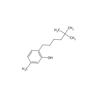 Cc1ccc(CCCCC(C)(C)C)c(O)c1